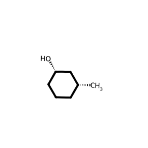 C[C@@H]1CCC[C@H](O)C1